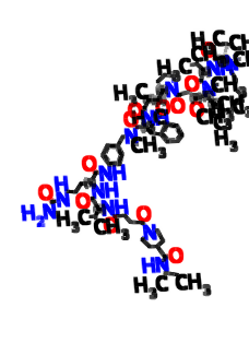 CCCCCN(C)[C@H](C(=O)N[C@H](C(=O)N(C)[C@@H]([C@@H](C)CC)[C@@H](CC(=O)N1CCC[C@H]1[C@H](OC)[C@@H](C)C(=O)N[C@@H](Cc1ccccc1)C(=O)N(C)Cc1ccc(NC(=O)[C@H](CCCNC(N)=O)NC(=O)[C@@H](NC(=O)CCC(=O)N2CCC(C(=O)NC(C)CC)CC2)C(C)C)cc1)OC)C(C)C)C(C)C